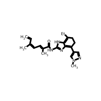 C=C/C(C)=C\C=C(/C)C(=O)Nc1nc2c([nH]1)=C(CC)CCC=2c1cnn(C)c1